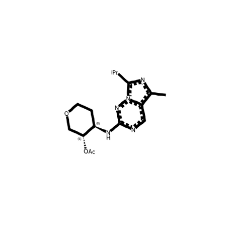 CC(=O)O[C@@H]1COCC[C@H]1Nc1ncc2c(C)nc(C(C)C)n2n1